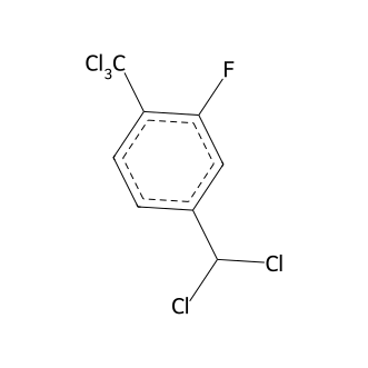 Fc1cc(C(Cl)Cl)ccc1C(Cl)(Cl)Cl